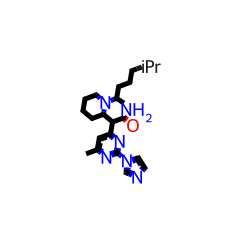 Cc1cc(C(C(N)=O)C2CCCCN2C(C)CCCC(C)C)nc(-n2ccnc2)n1